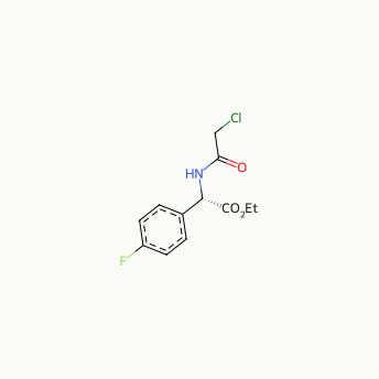 CCOC(=O)[C@@H](NC(=O)CCl)c1ccc(F)cc1